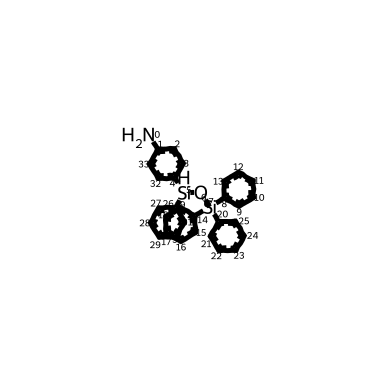 Nc1ccc([SiH](O[Si](c2ccccc2)(c2ccccc2)c2ccccc2)c2ccccc2)cc1